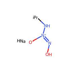 CC(C)N[N+]([O-])=NO.[NaH]